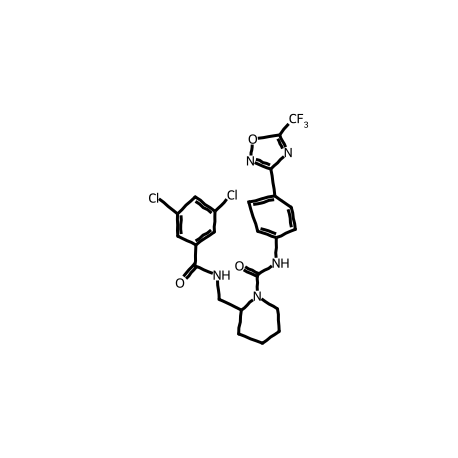 O=C(NCC1CCCCN1C(=O)Nc1ccc(-c2noc(C(F)(F)F)n2)cc1)c1cc(Cl)cc(Cl)c1